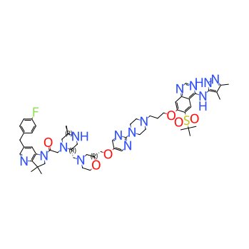 Cc1n[nH]c(Nc2ncnc3cc(OCCCN4CCN(c5ncc(OC[C@H]6CN(C[C@H]7CN[C@H](C)CN7CC(=O)N7CC(C)(C)c8ncc(Cc9ccc(F)cc9)cc87)CCO6)cn5)CC4)c(S(=O)(=O)C(C)(C)C)cc23)c1C